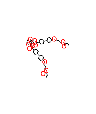 C=CC(=O)OCCCOc1ccc(-c2ccc(C(=O)O[C@@H]3OCCO[C@H]3OC(=O)c3ccc(-c4ccc(OCCCOC(=O)C=C)cc4)cc3)cc2)cc1